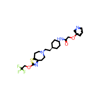 O=C(COc1cccnc1)N[C@H]1CC[C@H](CCN2CCc3nc(OCC(F)(F)F)sc3CC2)CC1